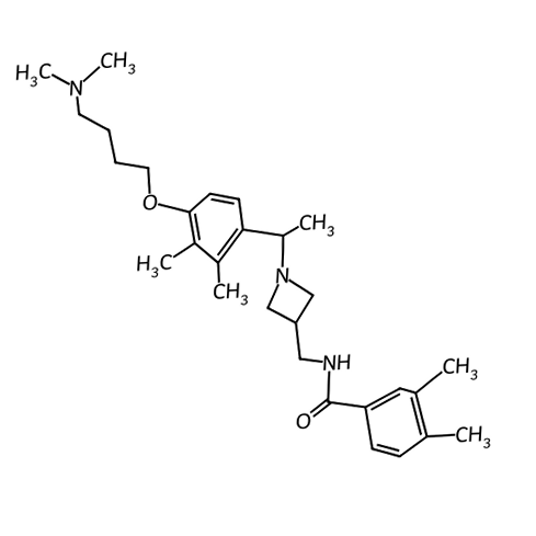 Cc1ccc(C(=O)NCC2CN(C(C)c3ccc(OCCCCN(C)C)c(C)c3C)C2)cc1C